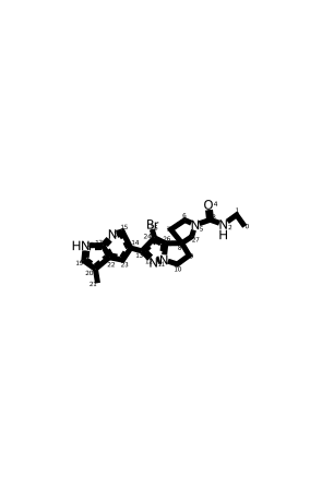 CCNC(=O)N1CCC2(CCn3nc(-c4cnc5[nH]cc(C)c5c4)c(Br)c32)C1